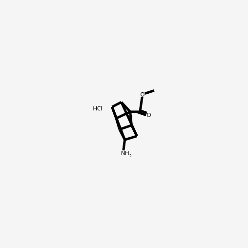 COC(=O)C12C3C4C1C1C2C3C41N.Cl